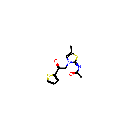 CC(=O)N=c1sc(C)cn1CC(=O)c1cccs1